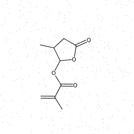 C=C(C)C(=O)OC1OC(=O)CC1C